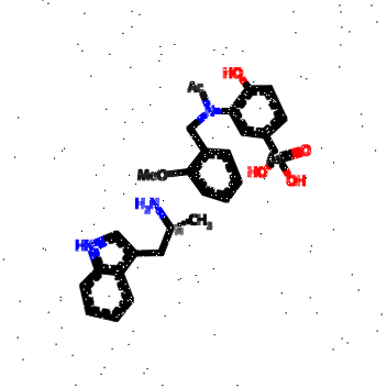 COc1ccccc1CN(C(C)=O)c1cc([As](=O)(O)O)ccc1O.C[C@@H](N)Cc1c[nH]c2ccccc12